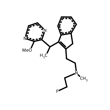 COc1nccnc1C(C)C1=C(CCN(C)CCF)Cc2ccccc21